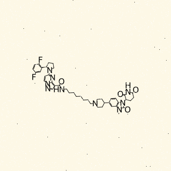 Cn1c(=O)n(C2CCC(=O)NC2=O)c2ccc(C3CCN(CCCCCCCCNC(=O)c4cnn5ccc(N6CCC[C@@H]6c6cc(F)ccc6F)nc45)CC3)cc21